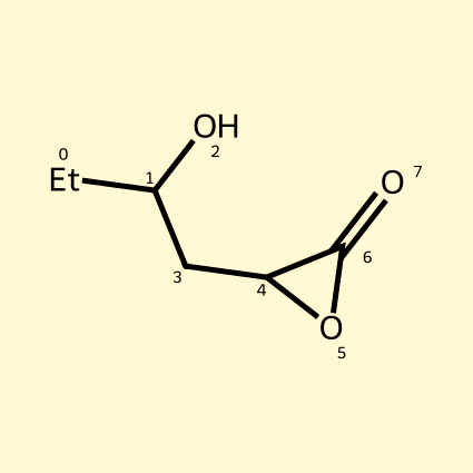 CCC(O)CC1OC1=O